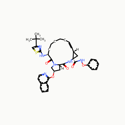 CC(C)(C)c1csc(N[C@H]2CCCCC/C=C\[C@@H]3C[C@@]3(C(=O)NOc3ccccc3)NC(=O)[C@@H]3C[C@@H](Oc4nccc5ccccc45)CN3C2=O)n1